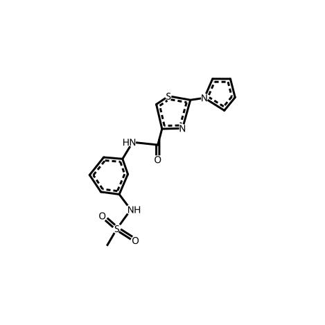 CS(=O)(=O)Nc1cccc(NC(=O)c2csc(-n3cccc3)n2)c1